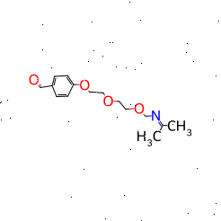 CC(C)=NCOCCOCCOc1ccc(C=O)cc1